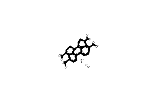 O=C([O-])c1ccc2c3ccc(C(=O)[O-])c4c(C(=O)[O-])ccc(c5ccc(C(=O)[O-])c1c25)c43.[K+].[K+].[K+].[K+]